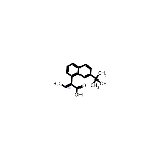 C/C=C(/C(=O)O)c1cccc2ccc(C(C)(C)O)cc12